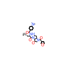 CC(C)CC(NC(=O)c1ccc(N(C)C)cc1)C(=O)N1CCC2C1C(=O)CN2C(=O)c1ccoc1